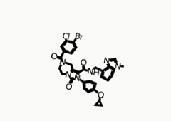 Cn1cnc2c(CNC(=O)c3c4n(c(=O)n3-c3ccc(OC5CC5)cc3)CCN(C(=O)c3ccc(Br)c(Cl)c3)C4)cccc21